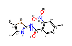 Cc1ccc(C(=O)Nc2nc(C)c(C)s2)c([N+](=O)[O-])c1